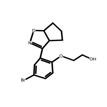 OCCOc1ccc(Br)cc1C1=NOC2CCCC12